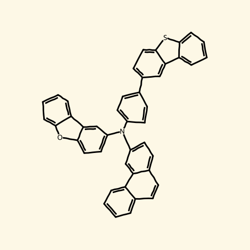 c1ccc2c(c1)ccc1ccc(N(c3ccc(-c4ccc5sc6ccccc6c5c4)cc3)c3ccc4oc5ccccc5c4c3)cc12